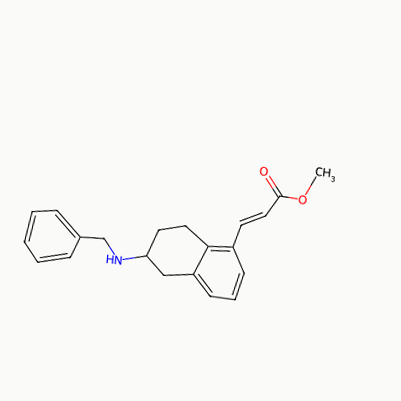 COC(=O)C=Cc1cccc2c1CCC(NCc1ccccc1)C2